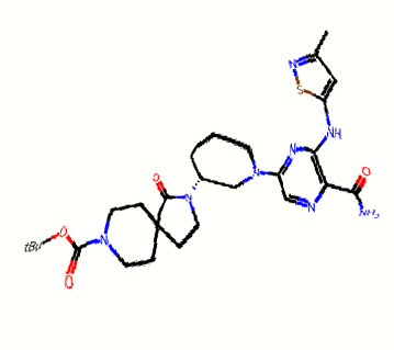 Cc1cc(Nc2nc(N3CCC[C@@H](N4CCC5(CCN(C(=O)OC(C)(C)C)CC5)C4=O)C3)cnc2C(N)=O)sn1